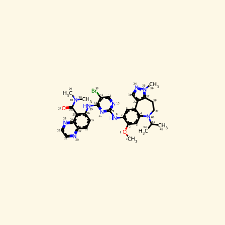 COc1cc2c(cc1Nc1ncc(Br)c(Nc3ccc4nccnc4c3C(=O)N(C)C)n1)-c1cnn(C)c1CCN2C(C)C